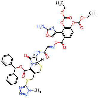 CCOC(=O)Oc1ccc(C(=O)ON=CC(=O)N[C@@H]2C(=O)N3C(C(=O)OC(c4ccccc4)c4ccccc4)=C(CSc4nnnn4C)CS[C@@H]23)c(-c2coc(N)n2)c1OC(=O)OCC